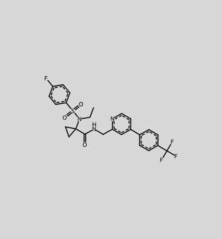 CCN(C1(C(=O)NCc2cc(-c3ccc(C(F)(F)F)cc3)ccn2)CC1)S(=O)(=O)c1ccc(F)cc1